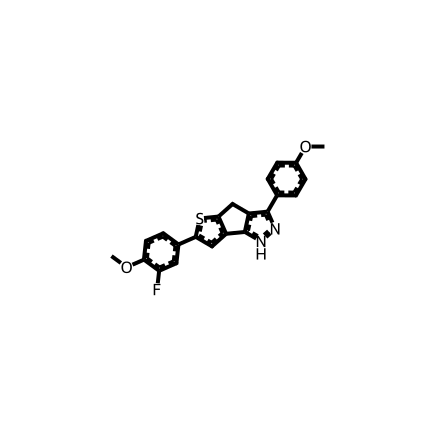 COc1ccc(-c2n[nH]c3c2Cc2sc(-c4ccc(OC)c(F)c4)cc2-3)cc1